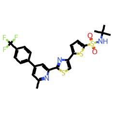 Cc1cc(-c2ccc(C(F)(F)F)cc2)cc(-c2nc(-c3ccc(S(=O)(=O)NC(C)(C)C)s3)cs2)n1